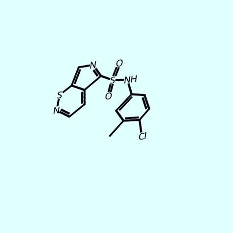 Cc1cc(NS(=O)(=O)c2ncc3snccc2-3)ccc1Cl